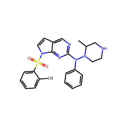 CC1CNCCN1N(c1ccccc1)c1ncc2ccn(S(=O)(=O)c3ccccc3C#N)c2n1